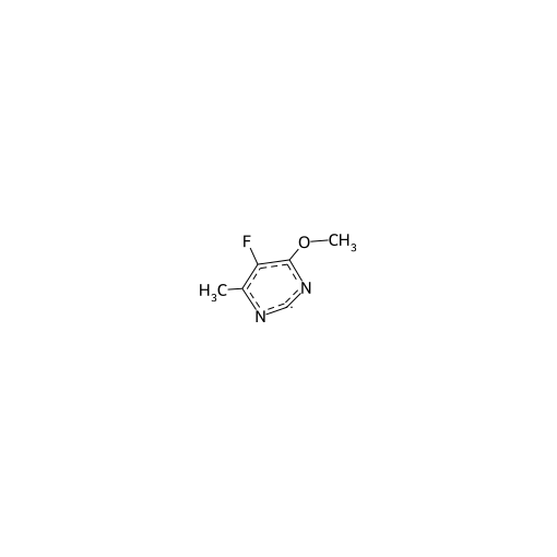 COc1n[c]nc(C)c1F